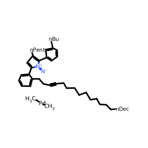 CCCCCCCCCCCCCCCCCCCCC#CCCc1ccccc1C1=CC(CCCCC)=C(c2cccc(CCCC)c2)[N+]1=[N-].[CH3][Pd][CH3]